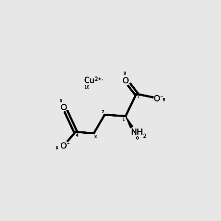 N[C@@H](CCC(=O)[O-])C(=O)[O-].[Cu+2]